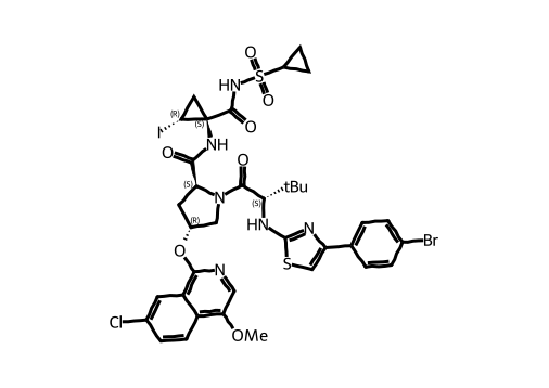 COc1cnc(O[C@@H]2C[C@@H](C(=O)N[C@]3(C(=O)NS(=O)(=O)C4CC4)C[C@H]3I)N(C(=O)[C@@H](Nc3nc(-c4ccc(Br)cc4)cs3)C(C)(C)C)C2)c2cc(Cl)ccc12